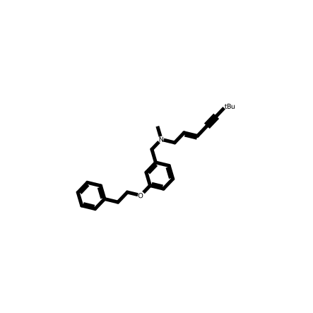 CN(CC=CC#CC(C)(C)C)Cc1cccc(OCCc2ccccc2)c1